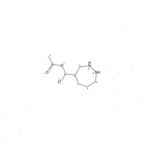 CC(=O)OC(Cl)C1CCCNNC1